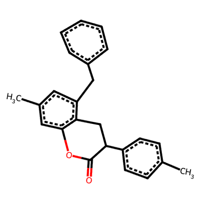 Cc1ccc(C2Cc3c(Cc4ccccc4)cc(C)cc3OC2=O)cc1